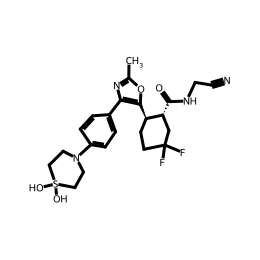 Cc1nc(-c2ccc(N3CCS(O)(O)CC3)cc2)c([C@@H]2CCC(F)(F)C[C@H]2C(=O)NCC#N)o1